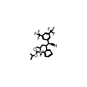 CC(C)OC(=O)[N+]1(F)c2ccccc2C(C(C#N)c2cc(C(F)(F)F)cc(C(F)(F)F)c2)CC1C